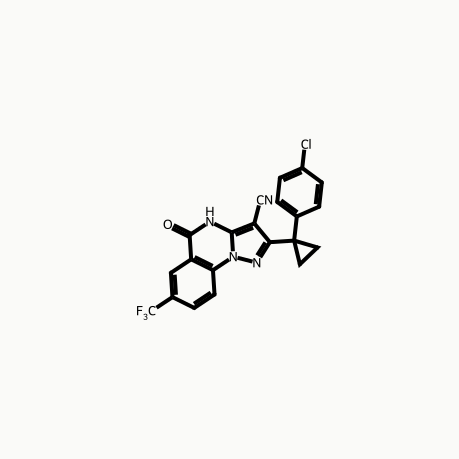 N#Cc1c(C2(c3ccc(Cl)cc3)CC2)nn2c1[nH]c(=O)c1cc(C(F)(F)F)ccc12